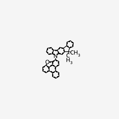 CC1(C)c2ccccc2-c2cc3c4ccccc4n(-c4ccc5c6ccccc6c6cccc7oc4c5c76)c3cc21